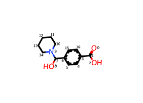 O=C(O)c1ccc(C(O)N2CCCCC2)cc1